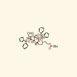 CC(C)(C)C(=O)OCCC1CC[C@@H]2O[C@@H]3[C@@H](O[C@H](CC=O)[C@@H]3O[Si](c3ccccc3)(c3ccccc3)C(C)(C)C)[C@@H](O[Si](c3ccccc3)(c3ccccc3)C(C)(C)C)[C@H]2O1